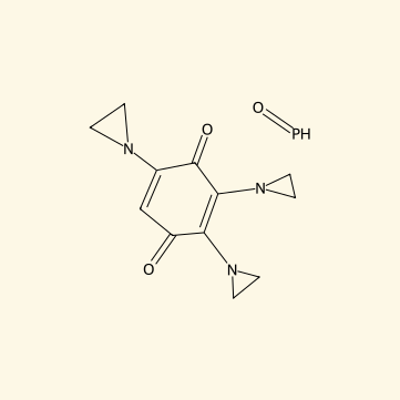 O=C1C=C(N2CC2)C(=O)C(N2CC2)=C1N1CC1.O=P